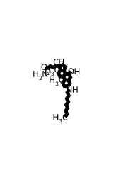 CCCCCCCCCNC1CCC2(C)C(C1)CC(O)C1C2CCC2(C)C(C(C)CCC(=O)ON)CCC12